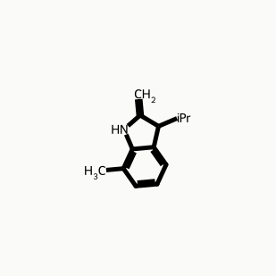 C=C1Nc2c(C)cccc2C1C(C)C